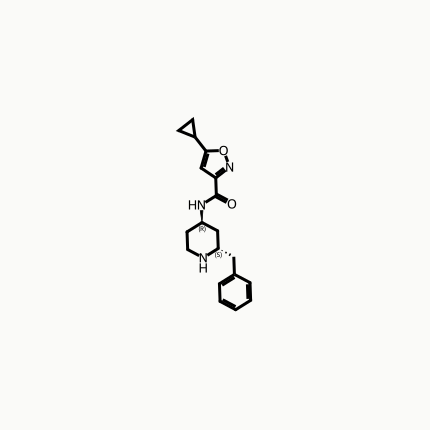 O=C(N[C@@H]1CCN[C@@H](Cc2ccccc2)C1)c1cc(C2CC2)on1